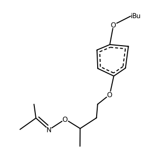 CCC(C)Oc1ccc(OCCC(C)ON=C(C)C)cc1